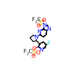 O=S(=O)(Oc1ncc(F)cc1C1CCCN1c1ccc2ncn(S(=O)(=O)C(F)(F)F)c2n1)C(F)(F)F